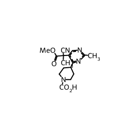 COC(=O)C(C)(C#N)c1cnc(C)nc1C1CCN(C(=O)O)CC1